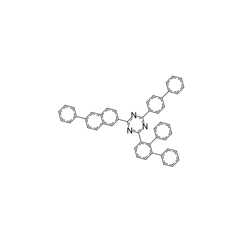 c1ccc(-c2ccc(-c3nc(-c4ccc5cc(-c6ccccc6)ccc5c4)nc(-c4cccc(-c5ccccc5)c4-c4ccccc4)n3)cc2)cc1